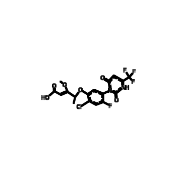 CO/C(=C\C(=O)O)C(C)Oc1cc(-n2c(=O)cc(C(F)(F)F)[nH]c2=O)c(F)cc1Cl